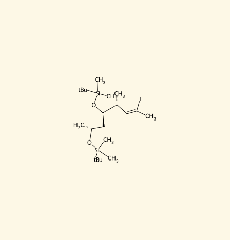 CC(I)=C[C@@H](C)[C@@H](C[C@@H](C)O[Si](C)(C)C(C)(C)C)O[Si](C)(C)C(C)(C)C